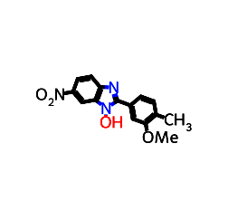 COc1cc(-c2nc3ccc([N+](=O)[O-])cc3n2O)ccc1C